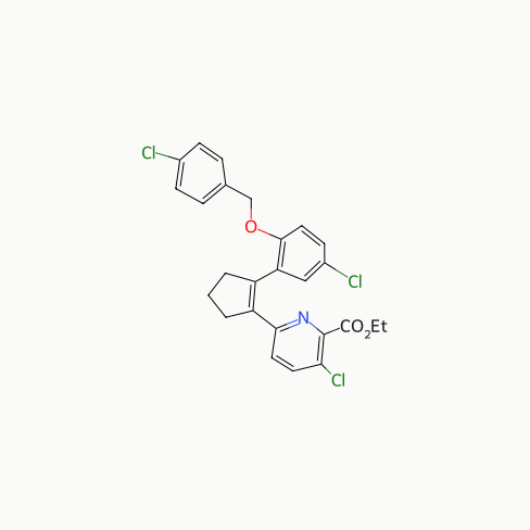 CCOC(=O)c1nc(C2=C(c3cc(Cl)ccc3OCc3ccc(Cl)cc3)CCC2)ccc1Cl